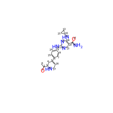 CC(=O)C1CC(c2ccc(Nc3ncc(C(N)=O)c(NC4CC4)n3)cc2)=CCN1